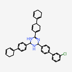 Clc1cccc(-c2ccc(C3N=C(C4=CCC(C5=CCCC=C5)C=C4)NC(c4ccc(C5=CC=CCC5)cc4)N3)cc2)c1